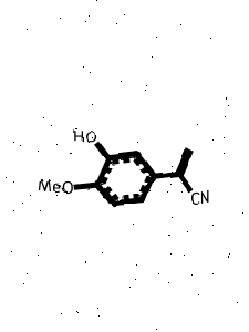 C=C(C#N)c1ccc(OC)c(O)c1